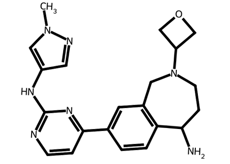 Cn1cc(Nc2nccc(-c3ccc4c(c3)CN(C3COC3)CCC4N)n2)cn1